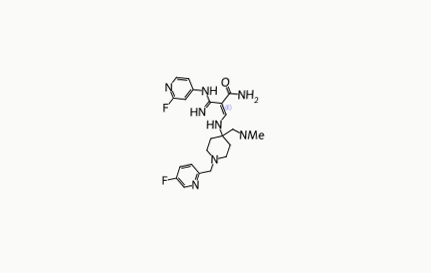 CNCC1(N/C=C(\C(=N)Nc2ccnc(F)c2)C(N)=O)CCN(Cc2ccc(F)cn2)CC1